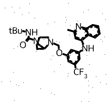 Cc1cc(Nc2cc(OCN3CC4CC3CN4C(=O)NC(C)(C)C)cc(C(F)(F)F)c2)c2ccccc2n1